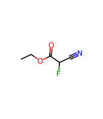 CCOC(=O)C(F)C#N